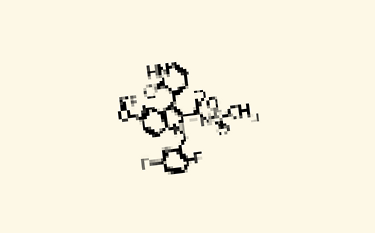 CS(=O)(=O)NC(=O)c1c(-c2ccc[nH]c2=O)c2cc(OC(F)(F)F)ccc2n1Cc1cc(F)ccc1F